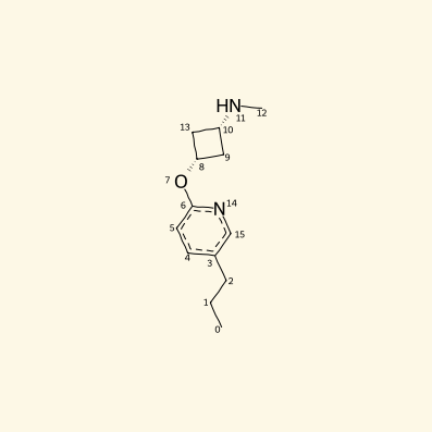 CCCc1ccc(O[C@H]2C[C@@H](NC)C2)nc1